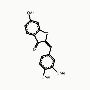 COc1ccc(C=C2Oc3cc(OC(C)=O)ccc3C2=O)cc1OC